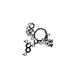 CC[C@@H]1C[C@H](C)CC/C=C\[C@@H]2C[C@@]2(C(=O)NS(=O)(=O)C2(C)CC2)NC(=O)[C@@H]2C[C@@H](Oc3nc(OC)cc4cc(OC)ccc34)CN2C(=O)[C@H]1NC(=O)OC1(C(F)(F)F)CCCOC1